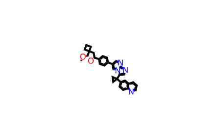 COCC1(CC(=O)c2ccc(-c3cnc4ncc(C5(c6ccc7ncccc7c6)CC5)n4c3)cc2)CCC1